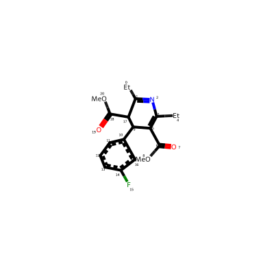 CCC1=NC(CC)=C(C(=O)OC)C(c2cccc(F)c2)C1C(=O)OC